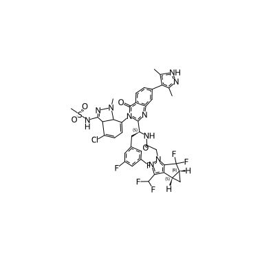 Cc1n[nH]c(C)c1-c1ccc2c(=O)n(C3=CC=C(Cl)C4C(NS(C)(=O)=O)=NN(C)C34)c([C@H](Cc3cc(F)cc(F)c3)NC(=O)Cn3nc(C(F)F)c4c3C(F)(F)[C@@H]3C[C@H]43)nc2c1